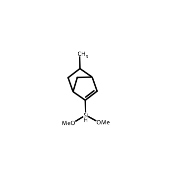 CO[SiH](OC)C1=CC2CC1CC2C